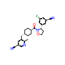 Cc1ncc(C#N)cc1C[C@H]1CC[C@H](C(=O)N2OCC[C@H]2c2cc(F)cc(C#N)c2)CC1